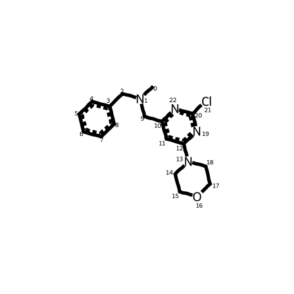 CN(Cc1ccccc1)Cc1cc(N2CCOCC2)nc(Cl)n1